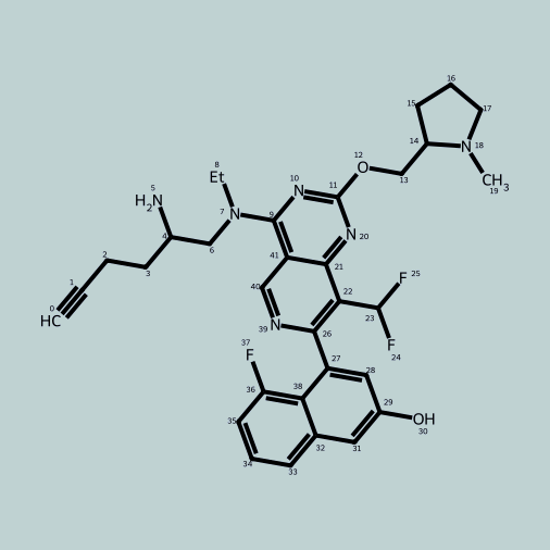 C#CCCC(N)CN(CC)c1nc(OCC2CCCN2C)nc2c(C(F)F)c(-c3cc(O)cc4cccc(F)c34)ncc12